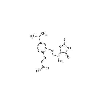 CC(C=Cc1cc(C(C)C)ccc1OCC(=O)O)=C1SC(=S)NC1=O